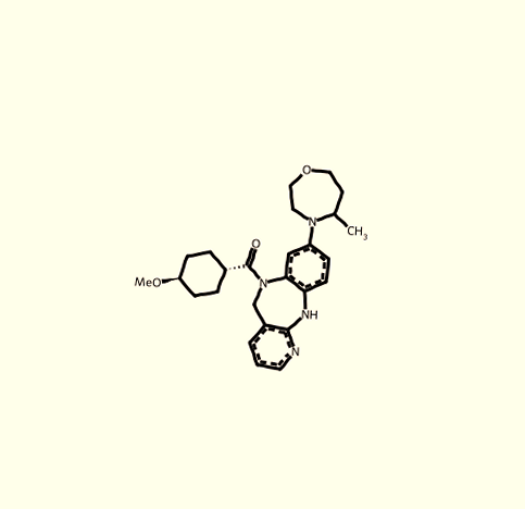 CO[C@H]1CC[C@H](C(=O)N2Cc3cccnc3Nc3ccc(N4CCOCCC4C)cc32)CC1